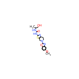 COc1ccc2oc(N3CCc4nc(NC(=O)N[C@H](C)CO)sc4C3)nc2c1